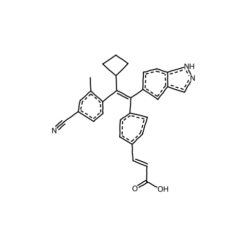 Cc1cc(C#N)ccc1/C(=C(\c1ccc(/C=C/C(=O)O)cc1)c1ccc2[nH]ncc2c1)C1CCC1